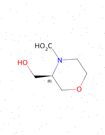 O=C(O)N1CCOC[C@H]1CO